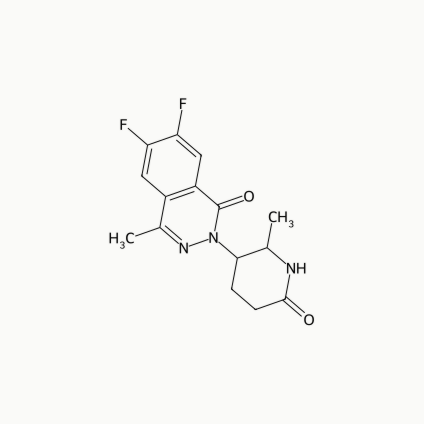 Cc1nn(C2CCC(=O)NC2C)c(=O)c2cc(F)c(F)cc12